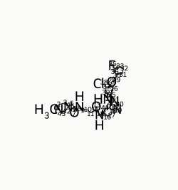 CN1CCN(CC(=O)NCCCC(=O)Nc2ccc3ncnc(Nc4ccc(OCc5cccc(F)c5)c(Cl)c4)c3c2)CC1